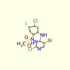 CS(=O)(=O)Nc1cc(F)c(Cl)cc1Nc1nc(Cl)ncc1Br